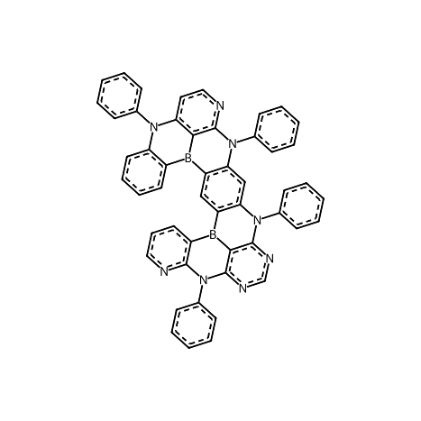 c1ccc(N2c3ccccc3B3c4cc5c(cc4N(c4ccccc4)c4nccc2c43)N(c2ccccc2)c2ncnc3c2B5c2cccnc2N3c2ccccc2)cc1